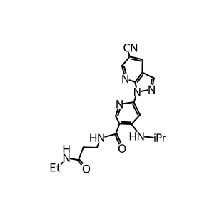 CCNC(=O)CCNC(=O)c1cnc(-n2ncc3cc(C#N)cnc32)cc1NC(C)C